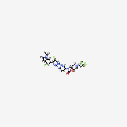 Cc1cc2c(F)cc(-c3nc(Nc4ccc(N5CC6(CCN(CCC(F)(F)F)CC6)OC5=O)cn4)ncc3F)cc2n1C(C)C